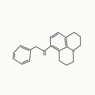 c1ccc(CNc2ccc3c4c2CCCN4CCC3)cc1